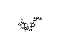 COC(=O)/C=C/c1cccc(-n2c(C)nc3c2CC[C@H]2[C@H](C)C(=O)CC[C@]32C)c1